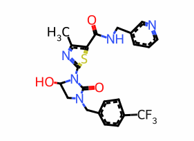 Cc1nc(N2C(=O)N(Cc3ccc(C(F)(F)F)cc3)CC2O)sc1C(=O)NCc1cccnc1